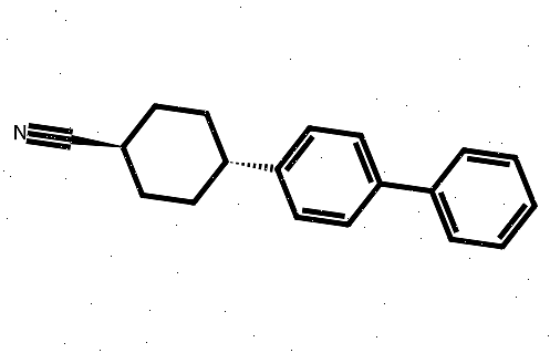 N#C[C@H]1CC[C@H](c2ccc(-c3ccccc3)cc2)CC1